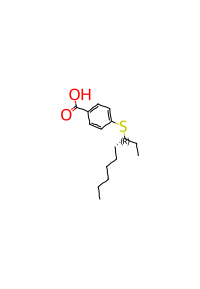 CCCCCC[C@@H](CC)Sc1ccc(C(=O)O)cc1